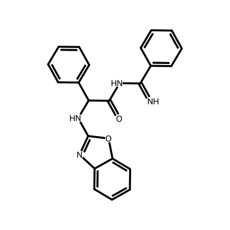 N=C(NC(=O)C(Nc1nc2ccccc2o1)c1ccccc1)c1ccccc1